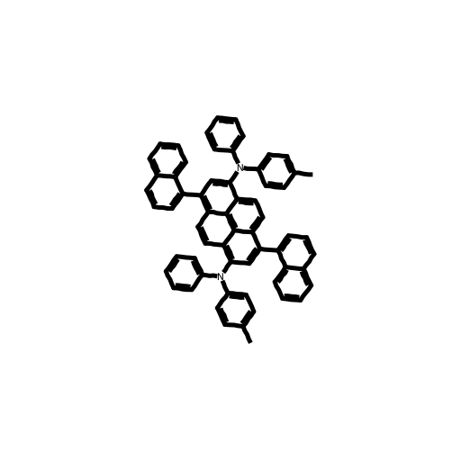 Cc1ccc(N(c2ccccc2)c2cc(-c3cccc4ccccc34)c3ccc4c(N(c5ccccc5)c5ccc(C)cc5)cc(-c5cccc6ccccc56)c5ccc2c3c54)cc1